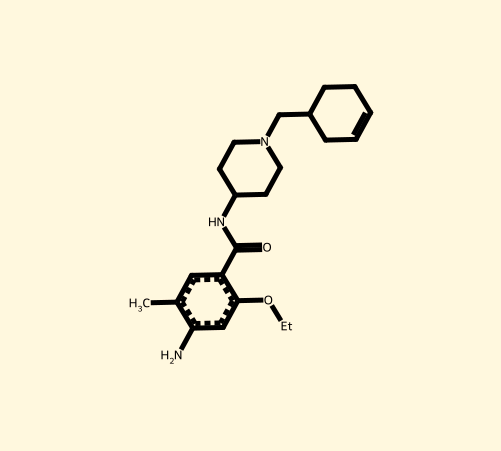 CCOc1cc(N)c(C)cc1C(=O)NC1CCN(CC2CC=CCC2)CC1